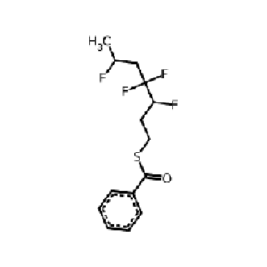 CC(F)CC(F)(F)C(F)CCSC(=O)c1ccccc1